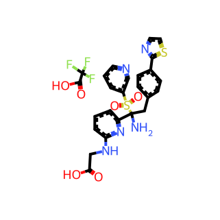 NC(Cc1ccc(-c2nccs2)cc1)(c1cccc(NCC(=O)O)n1)S(=O)(=O)c1cccnc1.O=C(O)C(F)(F)F